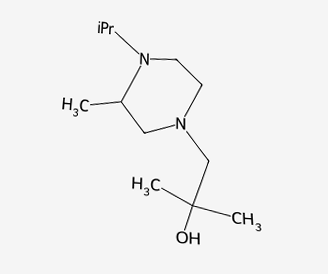 CC(C)N1CCN(CC(C)(C)O)CC1C